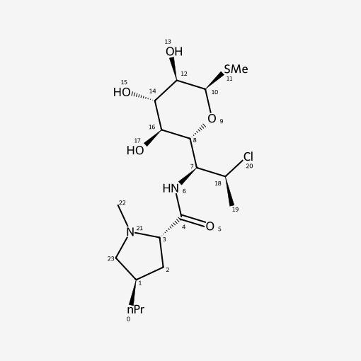 CCC[C@@H]1C[C@@H](C(=O)N[C@@H]([C@H]2O[C@H](SC)[C@H](O)[C@@H](O)[C@@H]2O)[C@H](C)Cl)N(C)C1